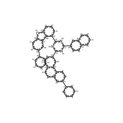 c1ccc(-c2ccc3c(ccc4ccc(-c5nc(-c6ccc7ccccc7c6)nc(-c6cccc7oc8ccc(-c9ccccc9)cc8c67)n5)cc43)c2)cc1